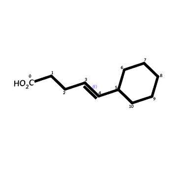 O=C(O)CC/C=C/C1CCCCC1